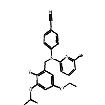 CCOc1cc(CN(c2ccc(C#N)cc2)c2cccc(Br)n2)c(F)c(OC(C)C)c1